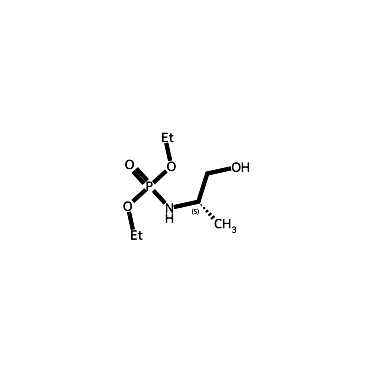 CCOP(=O)(N[C@@H](C)CO)OCC